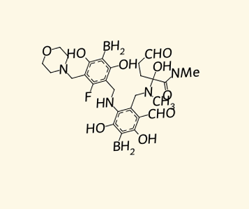 Bc1c(O)c(CNc2c(O)c(B)c(O)c(C=O)c2CN(C)C(O)(CCC=O)C(=O)NC)c(F)c(CN2CCOCC2)c1O